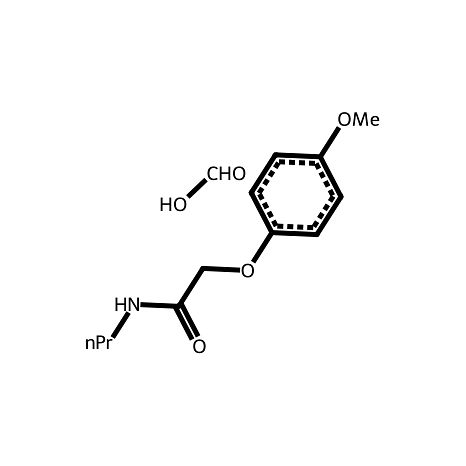 CCCNC(=O)COc1ccc(OC)cc1.O=CO